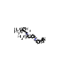 CCN(C/C=C/C#CC(C)(C)C)Cc1cccc(/C=C/c2cccc(-c3cncs3)c2)c1